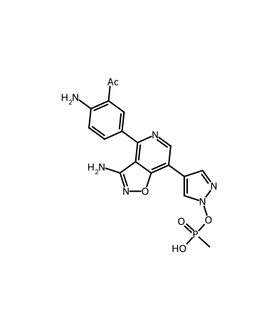 CC(=O)c1cc(-c2ncc(-c3cnn(OP(C)(=O)O)c3)c3onc(N)c23)ccc1N